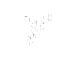 O=C(Nc1ccncn1)Nc1sc(-c2ccccc2)nc1C(=O)N[C@H]1CCCNC1